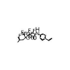 C=Cc1ccc(NC(=O)C(F)(F)S(=O)(=O)OC(CC(=C)C)C(F)(F)F)cc1